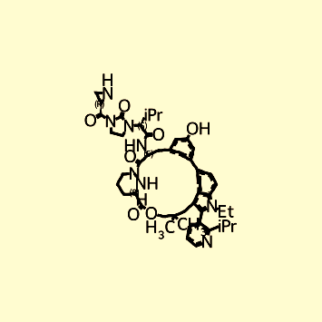 CCn1c(-c2cccnc2C(C)C)c2c3cc(ccc31)-c1cc(O)cc(c1)C[C@H](NC(=O)[C@H](C(C)C)N1CCN(C(=O)[C@H]3CN3)C1=O)C(=O)N1CCC[C@H](N1)C(=O)OCC(C)(C)C2